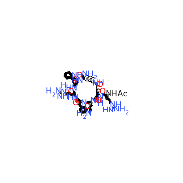 CC(=O)N[C@@H](CCCNC(=N)N)C(=O)NC1CCC(=O)NCCCC(C(N)=O)NC(=O)[C@H](Cc2c[nH]c3ccccc23)NC(=O)[C@H](CCCNC(=N)N)NC(=O)C(Cc2ccccc2)NC(=O)[C@H](CCCN)NC1=O